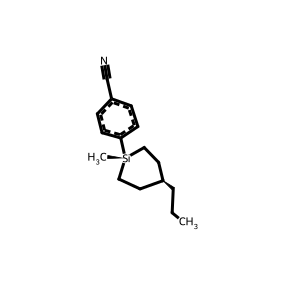 CCC[C@H]1CC[Si@](C)(c2ccc(C#N)cc2)CC1